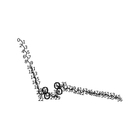 CCCCCCCCCCCCCCCCCCCCCC(C)C(=O)OCCC(C)COC(=O)C(C)CCCCCCCCCCCCCCCCCCCCC